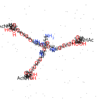 CC(=O)N[C@H]1[C@H]2OC[C@@](COCCOCCOCCOCCn3cc(COCC(COCc4cn(CCOCCOCCOCCOC[C@]56CO[C@@H](O5)[C@H](NC(C)=O)[C@@H](O)[C@H]6O)nn4)(COCc4cn(CCOCCOCCOCCOC[C@]56CO[C@@H](O5)[C@H](NC(C)=O)[C@@H](O)[C@H]6O)nn4)NC(=O)CCCN)nn3)(O2)[C@H](O)[C@@H]1O